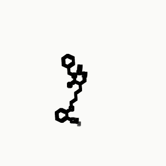 Cc1ccccc1OCCCCC(/C=N\O)C(=O)OCc1ccccc1